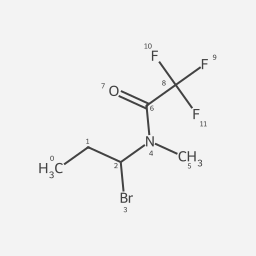 CCC(Br)N(C)C(=O)C(F)(F)F